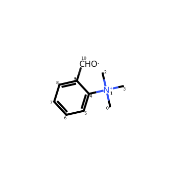 C[N+](C)(C)c1ccccc1[C]=O